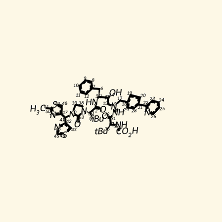 CC[C@H](C)[C@@H](C(=O)N[C@@H](Cc1ccccc1)[C@@H](O)CN(Cc1ccc(-c2ccccn2)cc1)NC(=O)[C@@H](NC(=O)O)C(C)(C)C)N1CCN(C(c2cscn2)c2csc(C)n2)C1=O